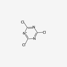 ClC1=NC(Cl)=[N+]C(Cl)=N1